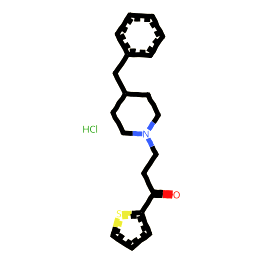 Cl.O=C(CCN1CCC(Cc2ccccc2)CC1)c1cccs1